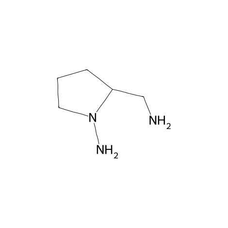 NCC1CCCN1N